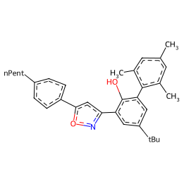 CCCCCc1ccc(-c2cc(-c3cc(C(C)(C)C)cc(-c4c(C)cc(C)cc4C)c3O)no2)cc1